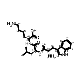 CC(C)C[C@H](NC(=O)[C@@H](N)Cc1c[nH]c2ccccc12)C(=O)N[C@@H](CCCCN)C(=O)O